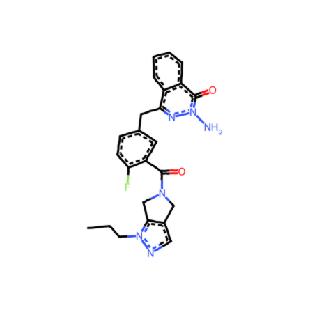 CCCn1ncc2c1CN(C(=O)c1cc(Cc3nn(N)c(=O)c4ccccc34)ccc1F)C2